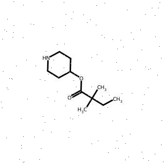 CCC(C)(C)C(=O)OC1CCNCC1